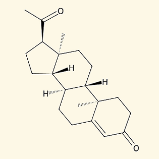 CC(=O)[C@@H]1CC[C@H]2[C@@H]3CCC4=CC(=O)CC[C@]4(C)[C@H]3CC[C@]12C